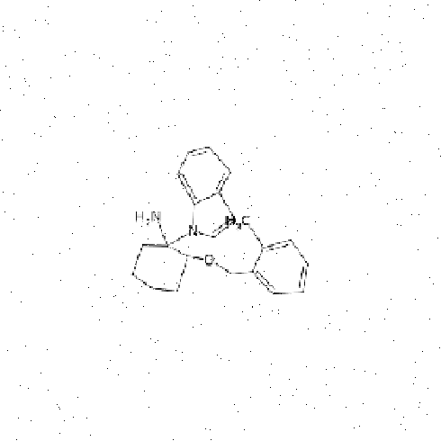 Cc1ccccc1COC1CCCCC1(N)n1ccc2ccccc21